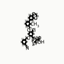 Cc1c(COc2cc(OCc3cccc(C#N)c3)c(CNC(C(=O)O)C(F)(F)F)cc2Cl)cccc1-c1ccc2c(c1)OCCO2